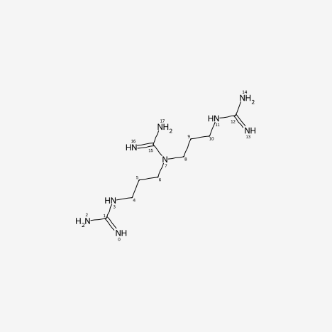 N=C(N)NCCCN(CCCNC(=N)N)C(=N)N